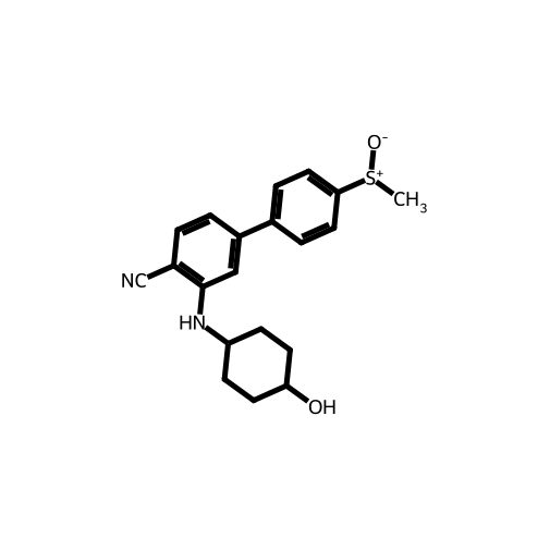 C[S+]([O-])c1ccc(-c2ccc(C#N)c(NC3CCC(O)CC3)c2)cc1